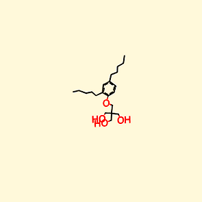 CCCCCc1ccc(OCC(CO)(CO)CO)c(CCCCC)c1